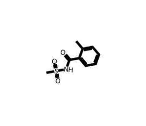 Cc1ccccc1C(=O)NS(C)(=O)=O